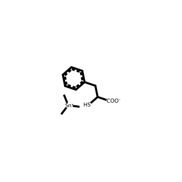 O=C([O-])C(S)Cc1ccccc1.[CH3][Sn+]([CH3])[CH3]